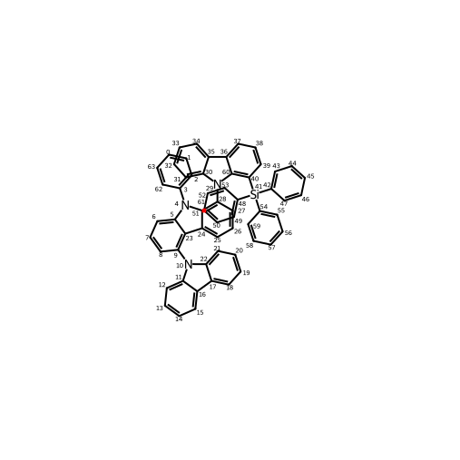 c1ccc(-n2c3cccc(-n4c5ccccc5c5ccccc54)c3c3cccc(-n4c5ccccc5c5cccc([Si](c6ccccc6)(c6ccccc6)c6ccccc6)c54)c32)cc1